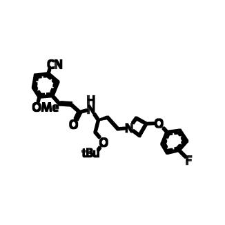 COc1ccc(C#N)cc1C=CC(=O)N[C@@H](CCN1CC(Oc2ccc(F)cc2)C1)COC(C)(C)C